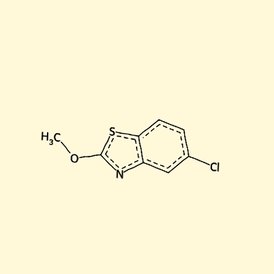 COc1nc2cc(Cl)ccc2s1